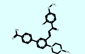 COc1ccc(C(=O)/C=C/c2cc(-c3ccc(C(=O)O)cc3)ccc2N2CCN(C)CC2)c(F)c1